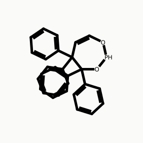 C1=CC(c2ccccc2)(c2ccccc2)C(c2ccccc2)(c2ccccc2)OPO1